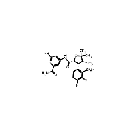 [2H]c1cc(NC(=O)[C@@H]2O[C@@](C)(C(F)(F)F)[C@@H](C)[C@@H]2c2ccc(F)c(F)c2OC)cc(C(N)=O)n1